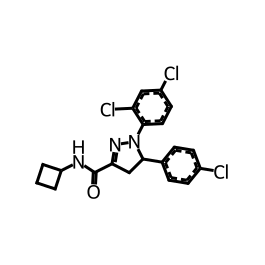 O=C(NC1CCC1)C1=NN(c2ccc(Cl)cc2Cl)C(c2ccc(Cl)cc2)C1